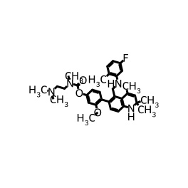 COc1cc(OC(=O)N(C)CCN(C)C)ccc1-c1ccc2c(c1CNc1cc(F)ccc1C)C(C)=CC(C)(C)N2